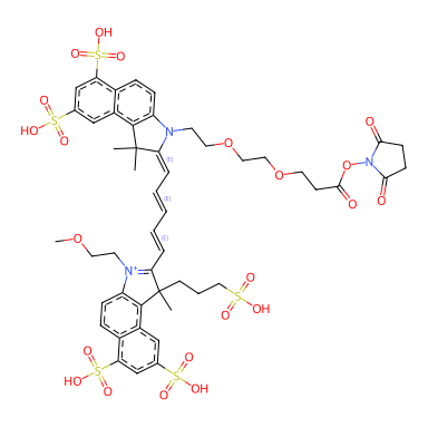 COCC[N+]1=C(/C=C/C=C/C=C2/N(CCOCCOCCC(=O)ON3C(=O)CCC3=O)c3ccc4c(S(=O)(=O)O)cc(S(=O)(=O)O)cc4c3C2(C)C)C(C)(CCCS(=O)(=O)O)c2c1ccc1c(S(=O)(=O)O)cc(S(=O)(=O)O)cc21